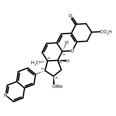 CO[C@@H]1C[C@H]2[C@@H]3OC4=C(C=C3C=C[C@]2(C)[C@H]1c1ccc2cnccc2c1)C(=O)CC(C(=O)O)C4